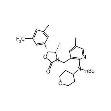 CCCCN(c1ncc(C)cc1CN1C(=O)O[C@H](c2cc(C)cc(C(F)(F)F)c2)[C@@H]1C)C1CCOCC1